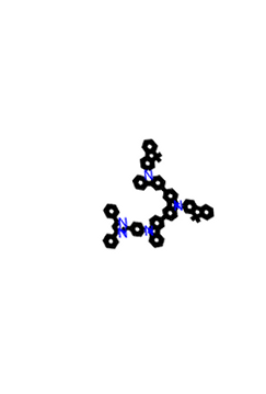 CC1(C)c2ccccc2-c2ccc(-n3c4ccccc4c4cc(-c5ccc6c(c5)c5cc(-c7ccc8c(c7)c7ccccc7n8-c7ccc(-c8nc(-c9ccccc9)cc(-c9ccccc9)n8)cc7)ccc5n6-c5ccc6c(c5)C(C)(C)c5ccccc5-6)ccc43)cc21